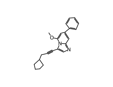 COc1cc(-c2ccccc2)cc2ncc(C#CCC3CCCC3)n12